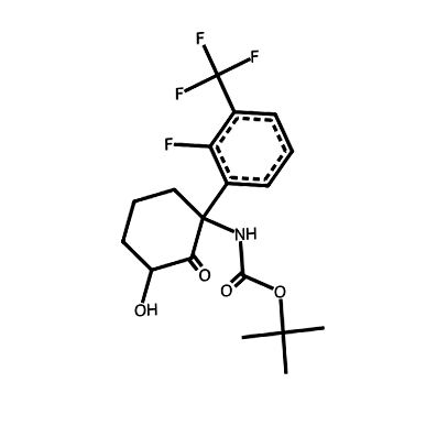 CC(C)(C)OC(=O)NC1(c2cccc(C(F)(F)F)c2F)CCCC(O)C1=O